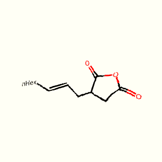 CCCCCCC=CCC1CC(=O)OC1=O